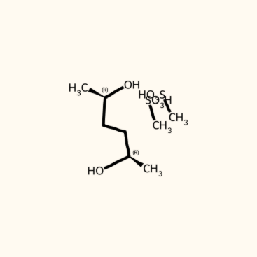 CS(=O)(=O)O.CS(=O)(=O)O.C[C@@H](O)CC[C@@H](C)O